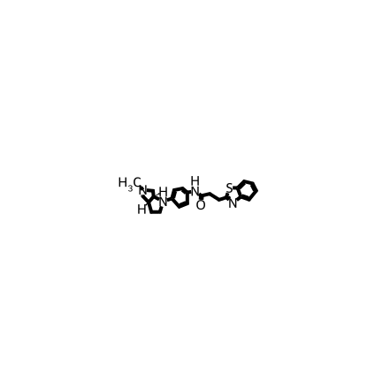 CN1C[C@@H]2CCN(c3ccc(NC(=O)CCc4nc5ccccc5s4)cc3)[C@@H]2C1